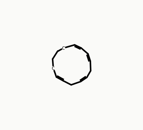 [CH]1CC=CC=CCC=CCC=CCC1